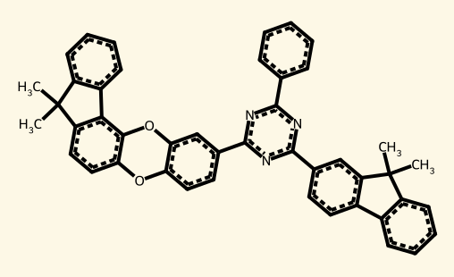 CC1(C)c2ccccc2-c2ccc(-c3nc(-c4ccccc4)nc(-c4ccc5c(c4)Oc4c(ccc6c4-c4ccccc4C6(C)C)O5)n3)cc21